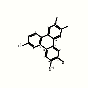 Cc1cc2c3ccc(S)cc3c3cc(O)c(C)cc3c2cc1C